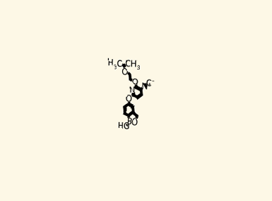 [C-]#[N+]c1ccc(Oc2ccc3c(c2)COB3O)nc1OCCOC(C)C